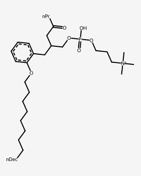 CCCCCCCCCCCCCCCCCCOc1ccccc1CC(COP(=O)(O)OCCC[N+](C)(C)C)CC(=O)CCC